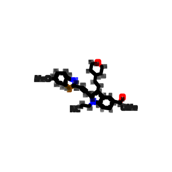 COC(=O)c1ccc2c(c1)c(CCC1CCOCC1)c(C#Cc1nc3ccc(OC)cc3s1)n2CCC#N